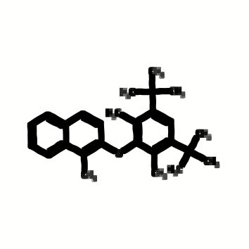 Cc1c(C(C)(C)C)cc(C(C)(C)C)c(C)c1Oc1ccc2ccccc2c1C